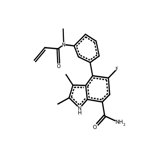 C=CC(=O)N(C)c1cccc(-c2c(F)cc(C(N)=O)c3[nH]c(C)c(C)c23)c1